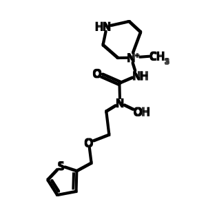 C[N+]1(NC(=O)N(O)CCOCc2cccs2)CCNCC1